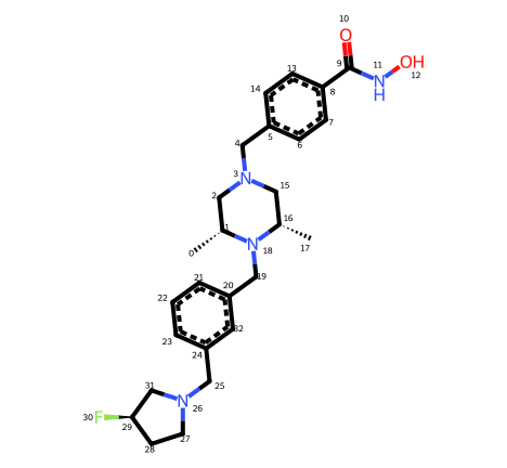 C[C@@H]1CN(Cc2ccc(C(=O)NO)cc2)C[C@H](C)N1Cc1cccc(CN2CC[C@@H](F)C2)c1